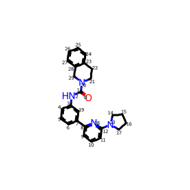 O=C(Nc1cccc(-c2cccc(N3CCCC3)n2)c1)N1CCc2ccccc2C1